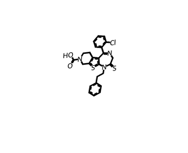 O=C(O)N1CCc2c(sc3c2C(c2ccccc2Cl)=NCC(=S)N3CCc2ccccc2)C1